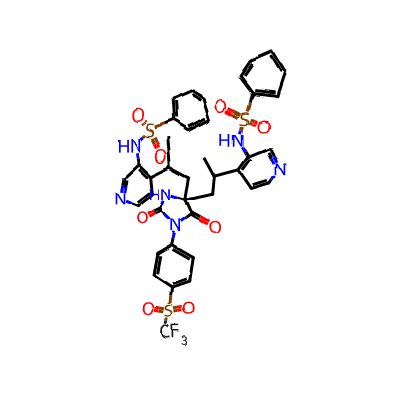 CC(CC1(CC(C)c2ccncc2NS(=O)(=O)c2ccccc2)NC(=O)N(c2ccc(S(=O)(=O)C(F)(F)F)cc2)C1=O)c1ccncc1NS(=O)(=O)c1ccccc1